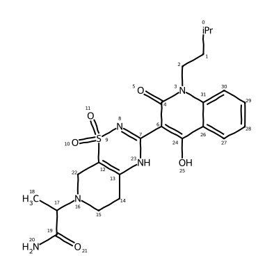 CC(C)CCn1c(=O)c(C2=NS(=O)(=O)C3=C(CCN(C(C)C(N)=O)C3)N2)c(O)c2ccccc21